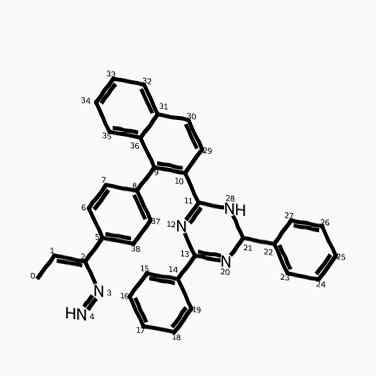 C/C=C(\N=N)c1ccc(-c2c(C3=NC(c4ccccc4)=NC(c4ccccc4)N3)ccc3ccccc23)cc1